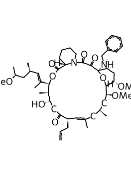 C=CC[C@@H]1/C=C(\C)C[C@H](C)C[C@H](OC)[C@H]2O[C@@](NCc3ccccc3)(C(=O)C(=O)N3CCCC[C@H]3C(=O)O[C@H](/C(C)=C/[C@H](C)C[C@H](C)OC)[C@H](C)[C@@H](O)CC1=O)[C@H](C)C[C@@H]2OC